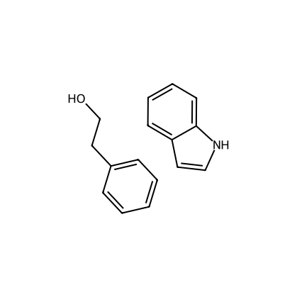 OCCc1ccccc1.c1ccc2[nH]ccc2c1